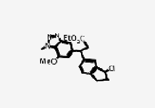 CCOC(=O)CC(c1ccc2c(c1)C(Cl)CC2)c1cc(OC)c2c(c1)nnn2C